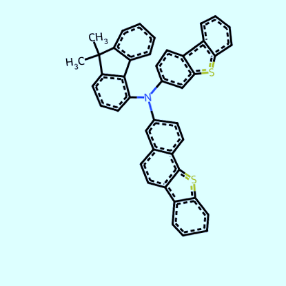 CC1(C)c2ccccc2-c2c(N(c3ccc4c(ccc5c6ccccc6sc45)c3)c3ccc4c(c3)sc3ccccc34)cccc21